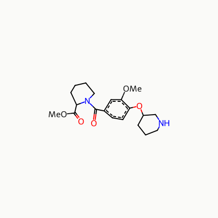 COC(=O)C1CCCCN1C(=O)c1ccc(OC2CCCNC2)c(OC)c1